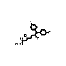 COC(=O)C[C@H](O)C=CC(=C(c1ccc(F)cc1)c1ccc(F)cc1)C(C)C